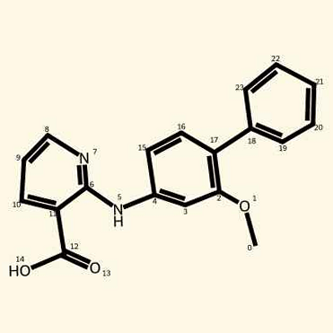 COc1cc(Nc2ncccc2C(=O)O)ccc1-c1ccccc1